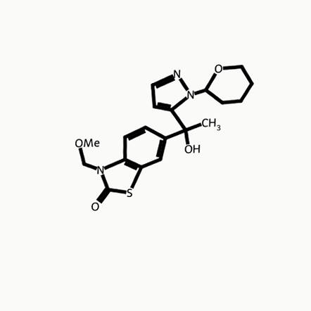 COCn1c(=O)sc2cc(C(C)(O)c3ccnn3C3CCCCO3)ccc21